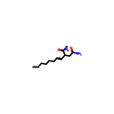 CCCCCCCCCCCCC/C=C/C(CC(N)=O)C(N)=O